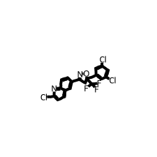 FC(F)(F)C1(c2cc(Cl)cc(Cl)c2)CC(c2ccc3nc(Cl)ccc3c2)=NO1